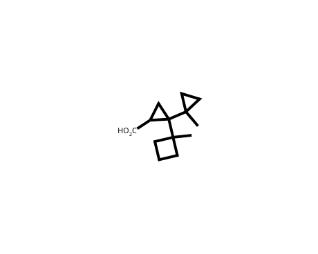 CC1(C2(C3(C)CC3)CC2C(=O)O)CCC1